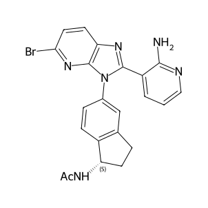 CC(=O)N[C@H]1CCc2cc(-n3c(-c4cccnc4N)nc4ccc(Br)nc43)ccc21